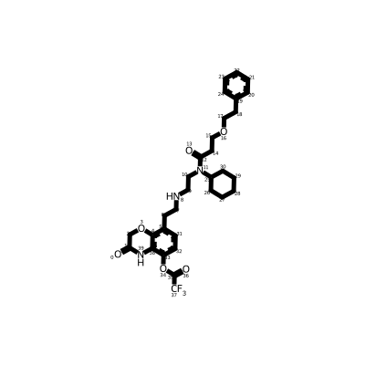 O=C1COc2c(CCNCCN(C(=O)CCOCCc3ccccc3)C3CCCCC3)ccc(OC(=O)C(F)(F)F)c2N1